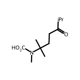 CC(C)C(=O)CCC(C)(C)N(C)C(=O)O